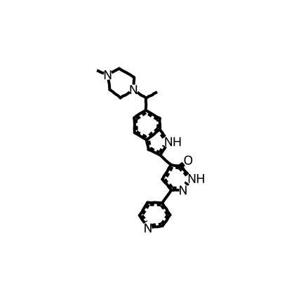 CC(c1ccc2cc(-c3cc(-c4ccncc4)n[nH]c3=O)[nH]c2c1)N1CCN(C)CC1